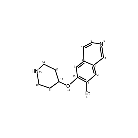 CCc1cc2cnccc2cc1OC1CCNCC1